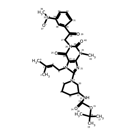 CC(C)=CCn1c(N2CCCC(NC(=O)OC(C)(C)C)C2)nc2c1c(=O)n(CC(=O)c1cccc([S+](C)[O-])c1)c(=O)n2C